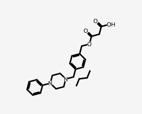 CCCC.O=C(O)CC(=O)OCc1ccc(CN2CCN(c3ccccc3)CC2)cc1